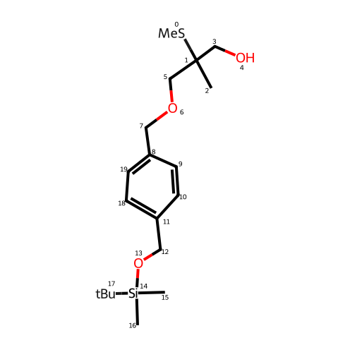 CSC(C)(CO)COCc1ccc(CO[Si](C)(C)C(C)(C)C)cc1